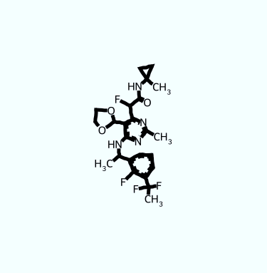 Cc1nc(NC(C)c2cccc(C(C)(F)F)c2F)c(C2OCCO2)c(C(F)C(=O)NC2(C)CC2)n1